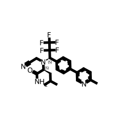 Cc1ccc(-c2ccc([C@H](N(CC#N)[C@@H](CC(C)C)C(N)=O)C(F)(F)C(F)(F)F)cc2)cn1